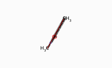 CCCCCCCC/C=C/CCCCCCCCOC(=O)CCCCCCCCCCCCCCCCCCCCCCCCCCCCC